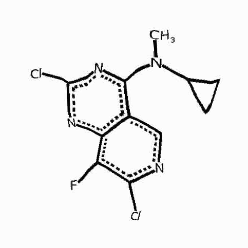 CN(c1nc(Cl)nc2c(F)c(Cl)ncc12)C1CC1